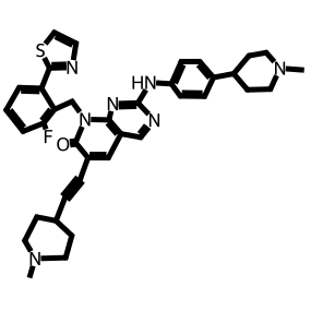 CN1CCC(C#Cc2cc3cnc(Nc4ccc(C5CCN(C)CC5)cc4)nc3n(Cc3c(F)cccc3-c3nccs3)c2=O)CC1